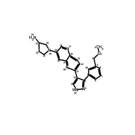 COCc1cccc(-c2n[nH]cc2-c2ccc3ncc(N4CCC(N)C4)cc3n2)c1